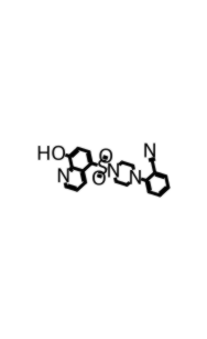 N#Cc1ccccc1N1CCN(S(=O)(=O)c2ccc(O)c3ncccc23)CC1